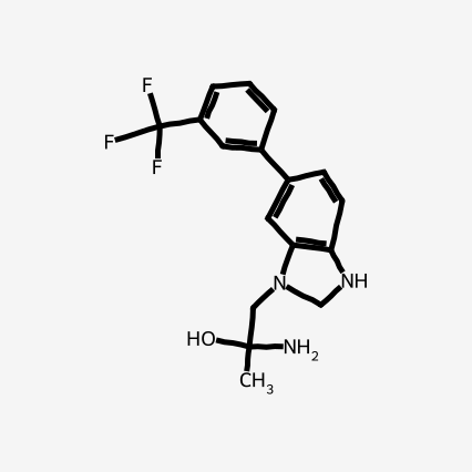 CC(N)(O)CN1CNc2ccc(-c3cccc(C(F)(F)F)c3)cc21